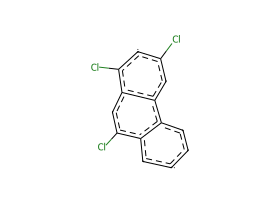 Clc1[c]c(Cl)c2cc(Cl)c3c[c]ccc3c2c1